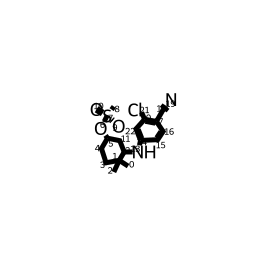 CC1(C)CCC(OS(C)(=O)=O)CC1Nc1ccc(C#N)c(Cl)c1